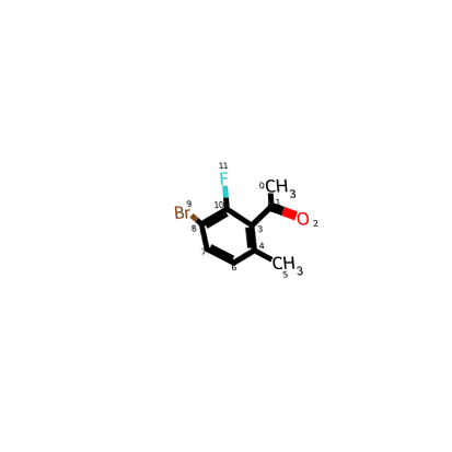 CC(=O)c1c(C)ccc(Br)c1F